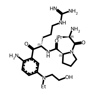 CCN(CCO)c1ccc(N)c(C(=O)[C@H](CCCNC(=N)N)NC(=O)[C@@H]2CCCN2C(=O)[C@H](N)C(C)C)c1